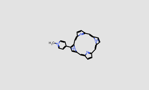 C[n+]1ccc(-c2cc3cc4nc(cc5ccc(cc6nc(cc2[nH]3)C=C6)[nH]5)C=C4)cc1